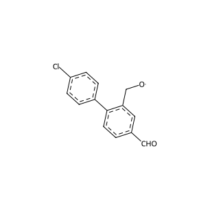 [O]Cc1cc(C=O)ccc1-c1ccc(Cl)cc1